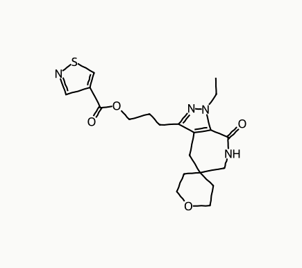 CCn1nc(CCCOC(=O)c2cnsc2)c2c1C(=O)NCC1(CCOCC1)C2